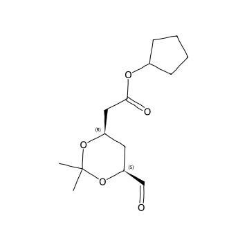 CC1(C)O[C@@H](CC(=O)OC2CCCC2)C[C@@H](C=O)O1